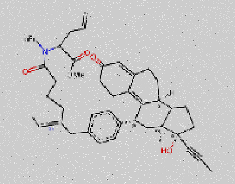 C=CCC(C(=O)OC)N(CCC)C(=O)CCC/C(=C\C)Cc1ccc([C@H]2C[C@@]3(C)C(CC[C@@]3(O)C#CC)[C@@H]3CCC4=CC(=O)CCC4=C32)cc1